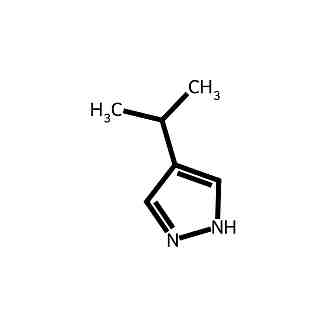 CC(C)c1cn[nH]c1